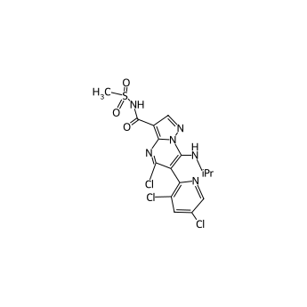 CC(C)Nc1c(-c2ncc(Cl)cc2Cl)c(Cl)nc2c(C(=O)NS(C)(=O)=O)cnn12